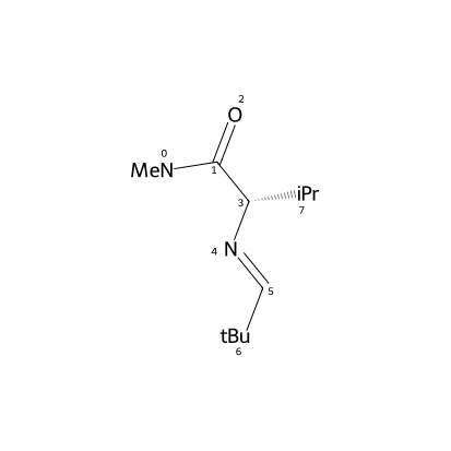 CNC(=O)[C@@H](N=CC(C)(C)C)C(C)C